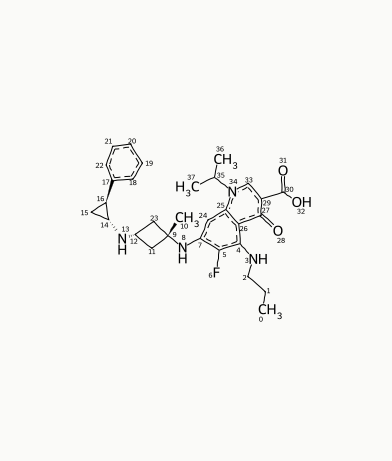 CCCNc1c(F)c(N[C@]2(C)C[C@H](N[C@@H]3C[C@H]3c3ccccc3)C2)cc2c1c(=O)c(C(=O)O)cn2C(C)C